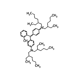 CCCCC(CC)CN(CC(CC)CCCC)c1ccc(C(=C2C=CC(=[N+](CC(CC)CCCC)CC(CC)CCCC)C=C2)c2ccccc2C)cc1